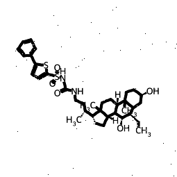 CC[C@@H]1C2C[C@H](O)CCC2(C)[C@H]2CCC3(C)[C@@H]([C@H](C)CCNC(=O)NS(=O)(=O)c4ccc(-c5ccccc5)s4)CC[C@H]3C2[C@@H]1O